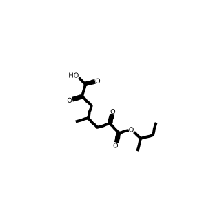 CCC(C)OC(=O)C(=O)CC(C)CC(=O)C(=O)O